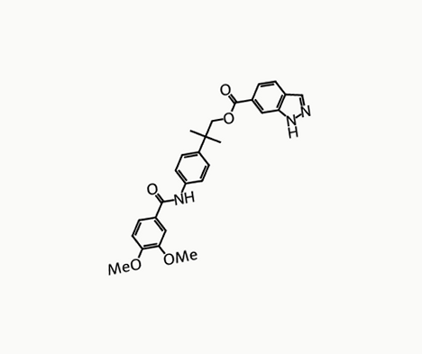 COc1ccc(C(=O)Nc2ccc(C(C)(C)COC(=O)c3ccc4cn[nH]c4c3)cc2)cc1OC